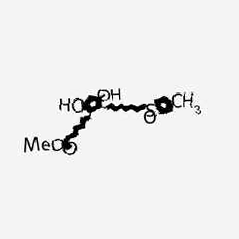 COC(=O)CCCCCC[C@@H]1[C@@H](C/C=C/CCCCC[S+]([O-])c2ccc(C)cc2)[C@H](O)C[C@H]1O